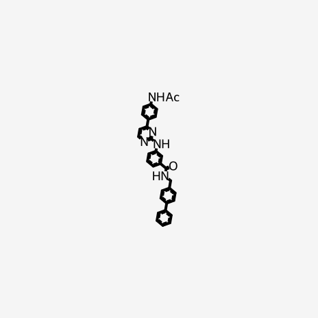 CC(=O)Nc1ccc(-c2ccnc(Nc3cccc(C(=O)NCc4ccc(-c5ccccc5)cc4)c3)n2)cc1